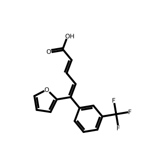 O=C(O)C=CC=C(c1cccc(C(F)(F)F)c1)c1ccco1